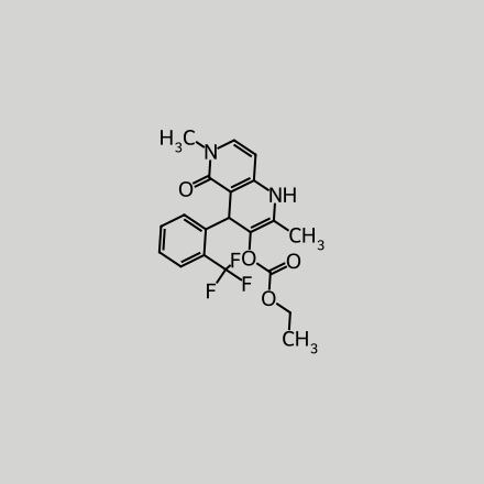 CCOC(=O)OC1=C(C)Nc2ccn(C)c(=O)c2C1c1ccccc1C(F)(F)F